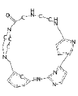 O=C1CNCCNc2ccc(cn2)-c2ccnc(n2)Nc2cccc(c2)CN2CCN1CC2